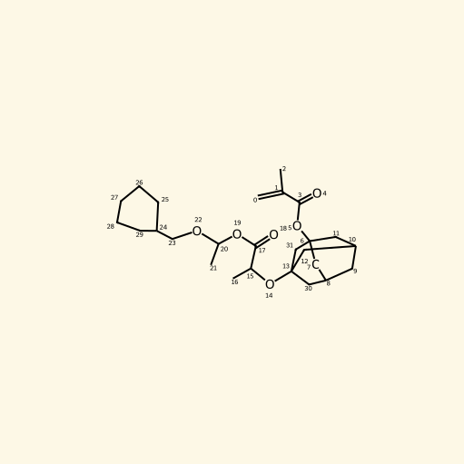 C=C(C)C(=O)OC12CC3CC(C1)CC(OC(C)C(=O)OC(C)OCC1CCCCC1)(C3)C2